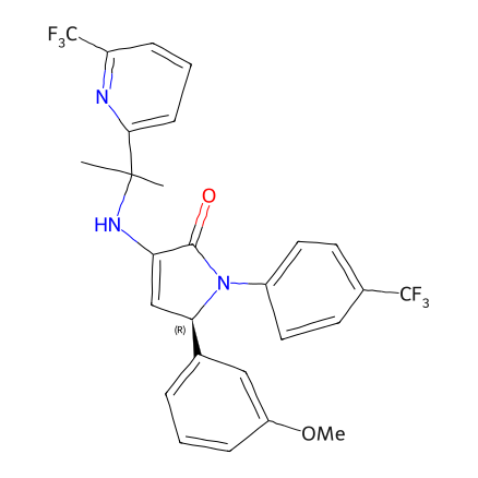 COc1cccc([C@H]2C=C(NC(C)(C)c3cccc(C(F)(F)F)n3)C(=O)N2c2ccc(C(F)(F)F)cc2)c1